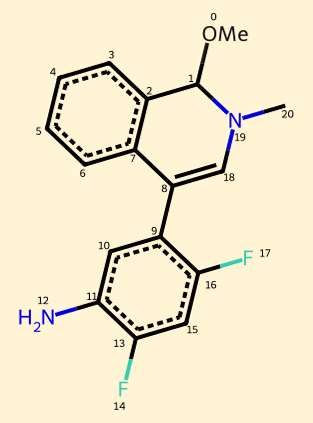 COC1c2ccccc2C(c2cc(N)c(F)cc2F)=CN1C